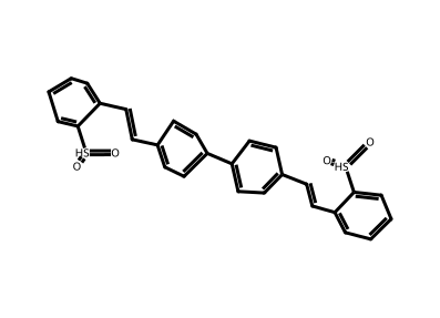 O=[SH](=O)c1ccccc1/C=C/c1ccc(-c2ccc(/C=C/c3ccccc3[SH](=O)=O)cc2)cc1